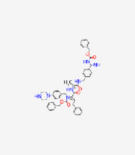 C[C@H](NC(=O)[C@@H](CCc1ccccc1)N(Cc1ccc(N2CCNCC2)cc1)C(=O)OCc1ccccc1)C(=O)NCc1ccc(C(=N)NC(=O)OCc2ccccc2)cc1